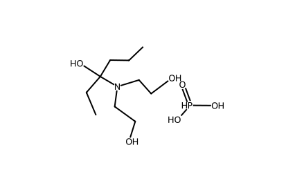 CCCC(O)(CC)N(CCO)CCO.O=[PH](O)O